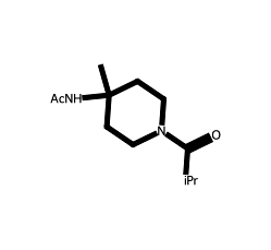 CC(=O)NC1(C)CCN(C(=O)C(C)C)CC1